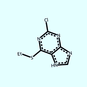 CCSc1nc(Cl)nc2nc[nH]c12